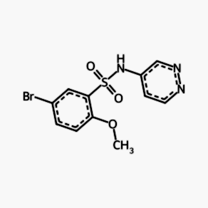 COc1ccc(Br)cc1S(=O)(=O)Nc1ccnnc1